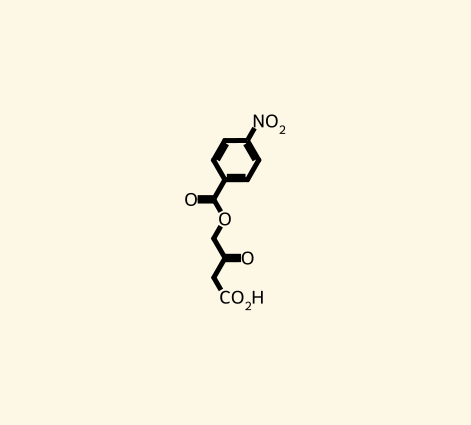 O=C(O)CC(=O)COC(=O)c1ccc([N+](=O)[O-])cc1